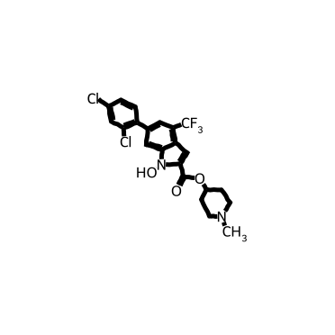 CN1CCC(OC(=O)c2cc3c(C(F)(F)F)cc(-c4ccc(Cl)cc4Cl)cc3n2O)CC1